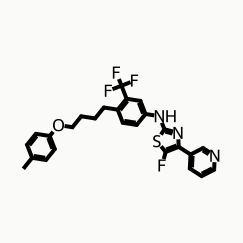 Cc1ccc(OCCCCc2ccc(Nc3nc(-c4cccnc4)c(F)s3)cc2C(F)(F)F)cc1